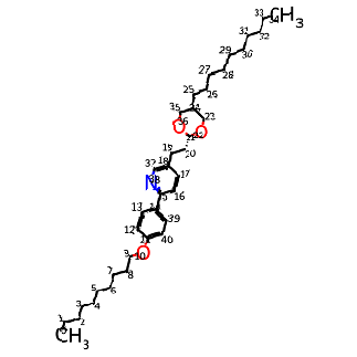 CCCCCCCCCCOc1ccc(-c2ccc(CC[C@H]3OC[C@H](CCCCCCCCCC)CO3)cn2)cc1